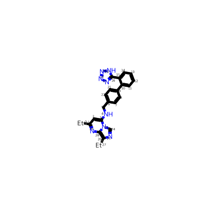 CCc1cc(NCc2ccc(-c3ccccc3-c3nnn[nH]3)cc2)n2cnc(CC)c2n1